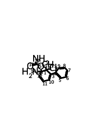 CC1(Cl)C(c2ccccc2)=CC=CC1(N)OC(N)=O